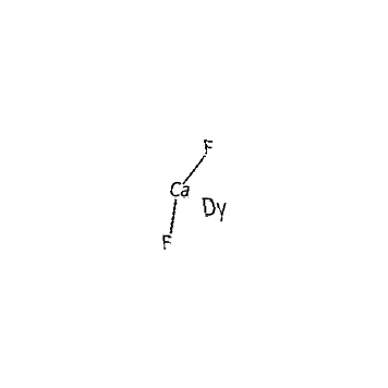 [Dy].[F][Ca][F]